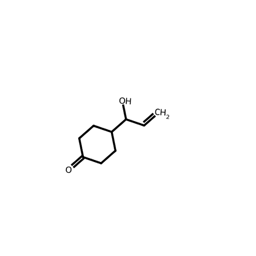 C=CC(O)C1CCC(=O)CC1